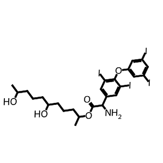 CC(O)CCCC(O)CCCC(C)OC(=O)C(N)c1cc(I)c(Oc2cc(I)cc(I)c2)c(I)c1